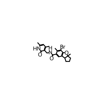 Cc1cc(C)c(CNC(=O)c2cc3c(c(Br)c2C)OC2(C)CCCC32)c(=O)[nH]1